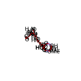 CO[C@H]1/C=C/O[C@@]2(C)Oc3c(C)c(O)c4c(=O)c(c5oc6cc(N7CCC(c8ccc(NC(=O)OCc9ccc(NC(=O)[C@H](CCCNC(N)=O)NC(=O)[C@@H](NC(=O)CCCCCN%10C(=O)C=CC%10=O)C(C)C)cc9)cc8)CC7)cc(O)c6nc-5c4c3C2=O)NC(=O)/C(C)=C\C=C\[C@H](C)[C@H](O)[C@@H](C)[C@@H](O)[C@@H](C)[C@H](OC(C)=O)[C@@H]1C